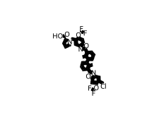 Cc1c(-c2nc3cc(CCl)c(OC(F)F)cc3o2)cccc1-c1cccc(-c2nc3cc(CN4CCC[C@H]4C(=O)O)c(OC(F)F)cc3o2)c1C